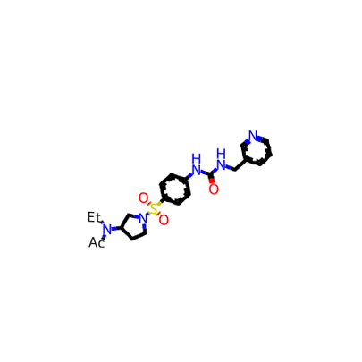 CCN(C(C)=O)C1CCN(S(=O)(=O)c2ccc(NC(=O)NCc3cccnc3)cc2)C1